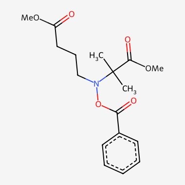 COC(=O)CCCN(OC(=O)c1ccccc1)C(C)(C)C(=O)OC